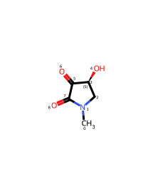 CN1C[C@H](O)C(=O)C1=O